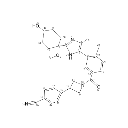 COC1(c2nc(C)c(-c3cc(C(=O)N4CC(c5ccc(C#N)cc5)C4)ccc3C)[nH]2)CCC(O)CC1